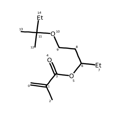 C=C(C)C(=O)OC(CC)CCOC(C)(C)CC